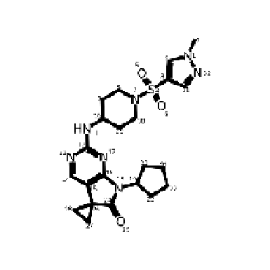 Cn1cc(S(=O)(=O)N2CCC(Nc3ncc4c(n3)N(C3CCCC3)C(=O)C43CC3)CC2)cn1